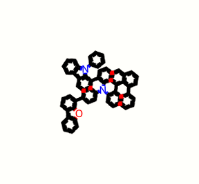 c1ccc(-c2cccc3cccc(-c4ccccc4N(c4ccc(-c5cccc6c5oc5ccccc56)cc4)c4ccccc4-c4cccc5c6ccccc6n(-c6ccccc6)c45)c23)cc1